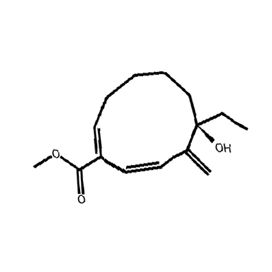 C=C1/C=C\C(C(=O)OC)=C/CCCC[C@]1(O)CC